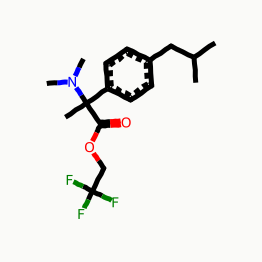 CC(C)Cc1ccc(C(C)(C(=O)OCC(F)(F)F)N(C)C)cc1